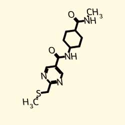 CNC(=O)C1CCC(NC(=O)c2cnc(CSC)nc2)CC1